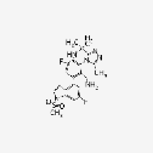 Cc1nnc2n1-c1c(CN)c(-c3cc(F)cc4c3ccn4S(C)(=O)=O)cc(F)c1NC2(C)C